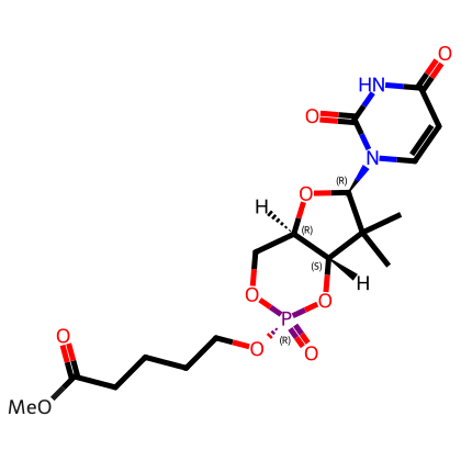 COC(=O)CCCCO[P@]1(=O)OC[C@H]2O[C@@H](n3ccc(=O)[nH]c3=O)C(C)(C)[C@@H]2O1